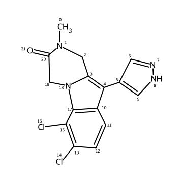 CN1Cc2c(-c3cn[nH]c3)c3ccc(Cl)c(Cl)c3n2CC1=O